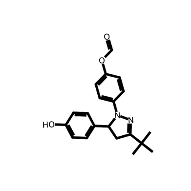 CC(C)(C)C1=NN(c2ccc(OC=O)cc2)C(c2ccc(O)cc2)C1